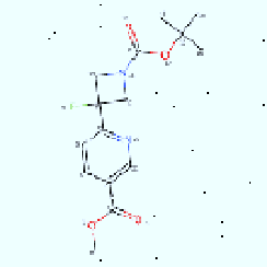 COC(=O)c1ccc(C2(F)CN(C(=O)OC(C)(C)C)C2)nc1